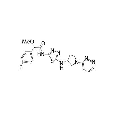 CO[C@H](C(=O)Nc1nnc(N[C@@H]2CCN(c3cccnn3)C2)s1)c1ccc(F)cc1